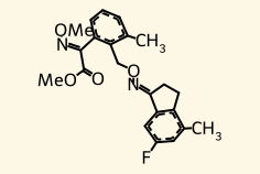 CO/N=C(/C(=O)OC)c1cccc(C)c1CO/N=C1\CCc2c(C)cc(F)cc21